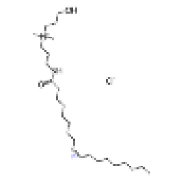 CCCCCCCC/C=C\CCCCCCCC(=O)NCCC[N+](C)(C)CCCO.[Cl-]